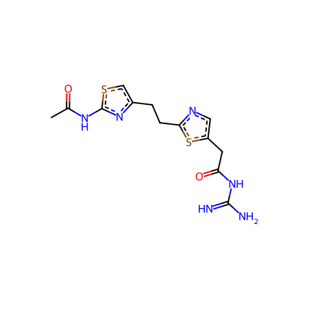 CC(=O)Nc1nc(CCc2ncc(CC(=O)NC(=N)N)s2)cs1